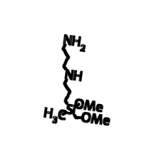 COC[Si](C)(CCCNCCCN)OC